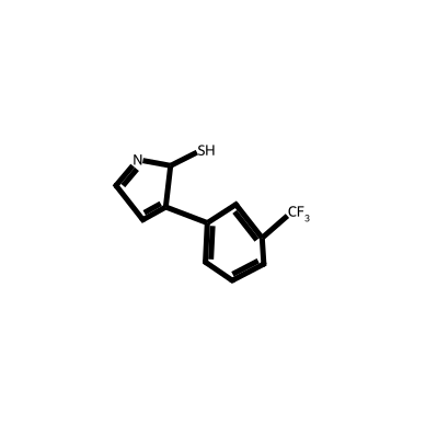 FC(F)(F)c1cccc(C2=CC=NC2S)c1